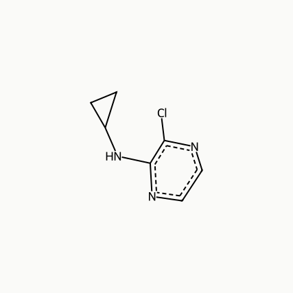 Clc1nccnc1NC1CC1